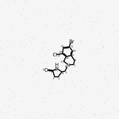 O=C1CCC(CN2CCc3cc(Br)cc(Cl)c3C2)N1